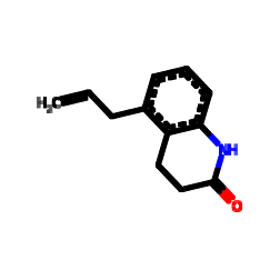 C=CCc1cccc2c1CCC(=O)N2